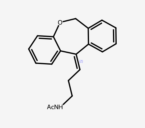 CC(=O)NCC/C=C1/c2ccccc2COc2ccccc21